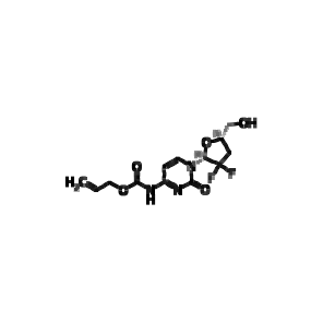 C=CCOC(=O)Nc1ccn([C@@H]2O[C@H](CO)CC2(F)F)c(=O)n1